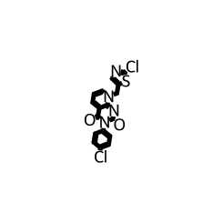 O=c1nc2n(Cc3cnc(Cl)s3)cccc-2c(=O)n1-c1ccc(Cl)cc1